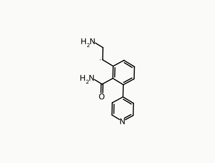 NC[CH]c1cccc(-c2ccncc2)c1C(N)=O